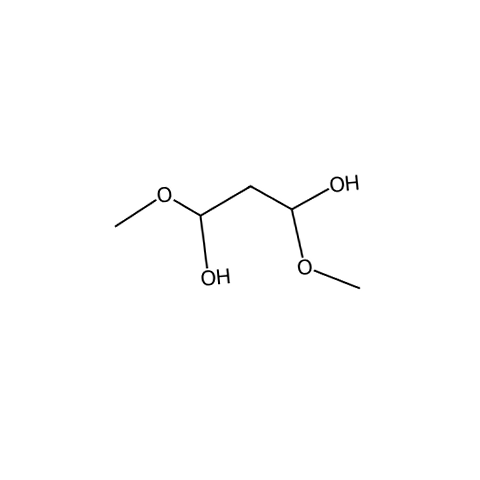 COC(O)CC(O)OC